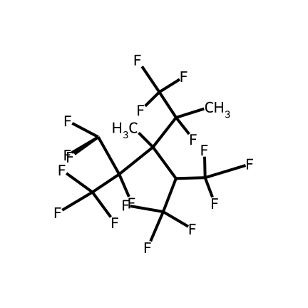 CC(F)(C(F)(F)F)C(C)(C(C(F)(F)F)C(F)(F)F)C(F)(C(F)(F)F)C(F)(F)F